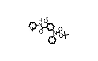 COc1ccc(N(C(=O)OC(C)(C)C)c2ccccc2)cc1C(=O)Nc1cccnc1